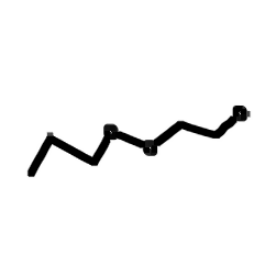 C[CH]COOCC[O]